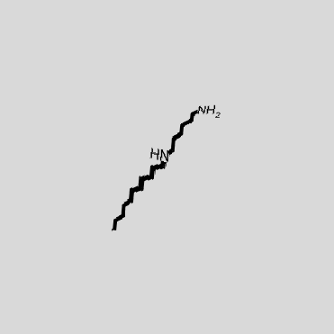 CCCCCCCCCCCNCCCCCCN